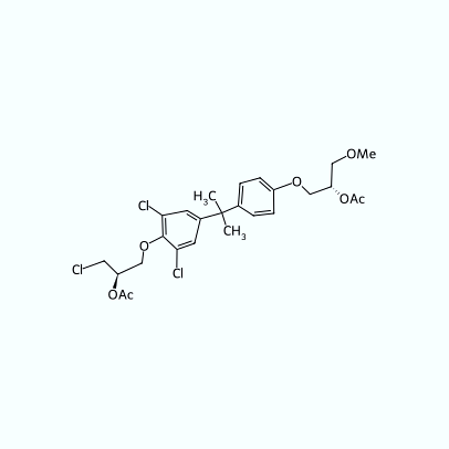 COC[C@@H](COc1ccc(C(C)(C)c2cc(Cl)c(OC[C@H](CCl)OC(C)=O)c(Cl)c2)cc1)OC(C)=O